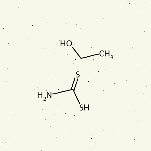 CCO.NC(=S)S